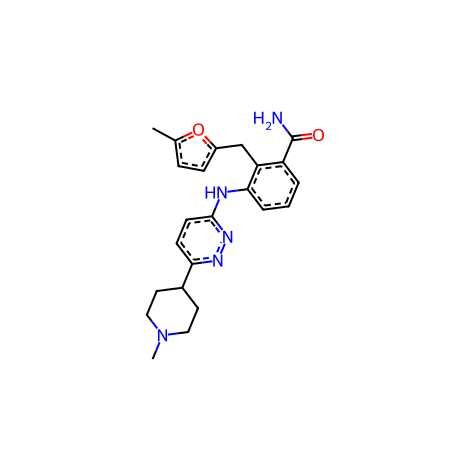 Cc1ccc(Cc2c(Nc3ccc(C4CCN(C)CC4)nn3)cccc2C(N)=O)o1